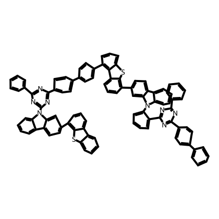 c1ccc(-c2ccc(-c3nc(-c4ccccc4)nc(-c4ccccc4-n4c5ccccc5c5ccc(-c6cccc7c6sc6cccc(-c8ccc(-c9ccc(-c%10nc(-c%11ccccc%11)nc(-n%11c%12ccccc%12c%12ccc(-c%13cccc%14c%13sc%13ccccc%13%14)cc%12%11)n%10)cc9)cc8)c67)cc54)n3)cc2)cc1